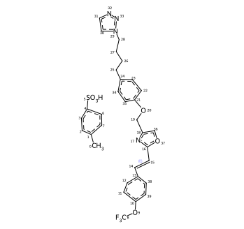 Cc1ccc(S(=O)(=O)O)cc1.FC(F)(F)Oc1ccc(/C=C/c2nc(COc3ccc(CCCCn4ccnn4)cc3)co2)cc1